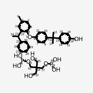 Cc1ccc(Oc2ccc(C(C)(C)c3ccc(O)cc3)cc2)c(C(C)c2ccccc2)c1.OCC(CO)(COP(O)O)COP(O)O